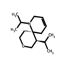 CC(C)[C@H]1COCC[C@]12CC=CCN2C(C)C